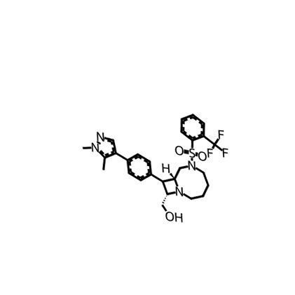 Cc1c(-c2ccc(C3[C@@H](CO)N4CCCCN(S(=O)(=O)c5ccccc5C(F)(F)F)C[C@@H]34)cc2)cnn1C